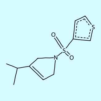 CC(C)C1=CCN(S(=O)(=O)c2ccsc2)C1